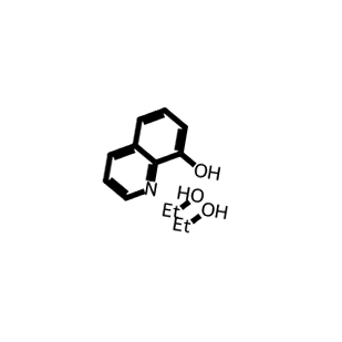 CCO.CCO.Oc1cccc2cccnc12